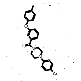 CC(=O)c1ccc(N2CCN(C(=O)c3cccc(Oc4ccc(C)cc4)c3)CC2)cc1